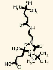 CC(C)(S)CCC(=O)NCCN(SC(C)(C)CCC(=O)O)C(=O)OC(C)(C)C